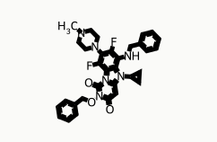 CN1CCN(c2c(F)c(NCc3ccccc3)c3c(c2F)n2c(=O)n(OCc4ccccc4)c(=O)cc2n3C2CC2)CC1